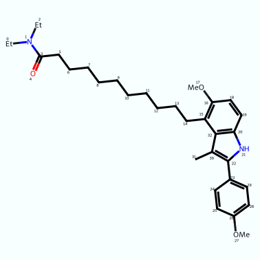 CCN(CC)C(=O)CCCCCCCCCCc1c(OC)ccc2[nH]c(-c3ccc(OC)cc3)c(C)c12